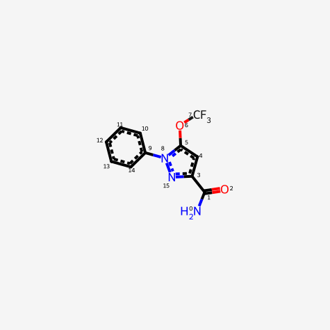 NC(=O)c1cc(OC(F)(F)F)n(-c2ccccc2)n1